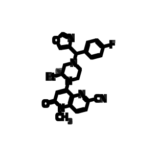 CC[C@H]1CN(C(c2ccc(F)cc2)c2cocn2)CCN1c1cc(=O)n(C)c2ccc(C#N)nc12